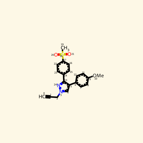 C#CCn1cc(-c2ccc(OC)cc2)c(-c2ccc(S(C)(=O)=O)cc2)n1